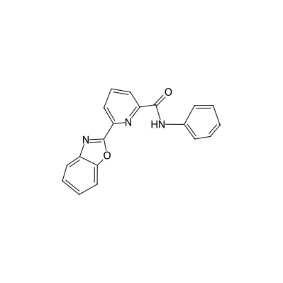 O=C(Nc1ccccc1)c1cccc(-c2nc3ccccc3o2)n1